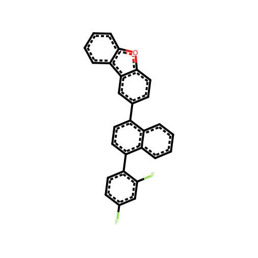 Fc1ccc(-c2ccc(-c3ccc4oc5ccccc5c4c3)c3ccccc23)c(F)c1